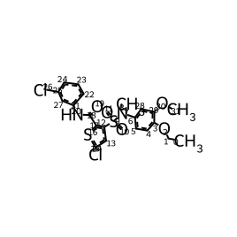 CCOc1ccc(N(C)S(=O)(=O)c2cc(Cl)sc2C(=O)Nc2cccc(Cl)c2)cc1OC